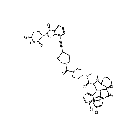 CN1[C@@H](C(=O)N(C)[C@H]2CC[C@H](C(=O)N3CCC(C#Cc4cccc5c4CN(C4CCC(=O)NC4=O)C5=O)CC3)CC2)[C@H](c2cccc(Cl)c2F)[C@]2(C(=O)Nc3cc(Cl)ccc32)C12CCCCC2